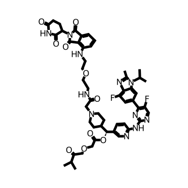 Cc1nc2c(F)cc(-c3nc(Nc4ccc([C@H](OC(=O)COCC(=O)C(C)C)C5CCN(CC(=O)NCCOCCNc6cccc7c6C(=O)N(C6CCC(=O)NC6=O)C7=O)CC5)cn4)ncc3F)cc2n1C(C)C